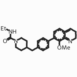 CCNC(=O)N1CCC(Cc2ccc(-c3ccc4c(c3OC)=NCCC=4)cc2)CC1